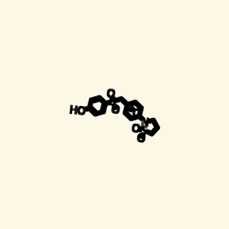 O=S(=O)(CC12CCC(N3CCCS3(=O)=O)(CC1)CC2)c1ccc(O)cc1